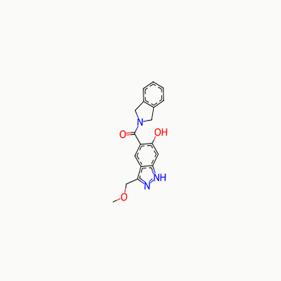 COCc1n[nH]c2cc(O)c(C(=O)N3Cc4ccccc4C3)cc12